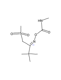 CNC(=O)O/N=C(\CS(C)(=O)=O)C(C)(C)C